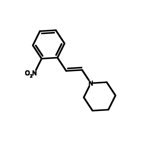 O=[N+]([O-])c1ccccc1/C=C/N1CCCCC1